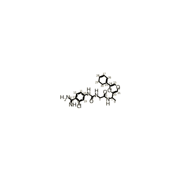 CC(NC(=O)CNC(=O)Nc1ccc(C(=N)N)c(Cl)c1)C1=COC=C(C2=CC=CCC2)O1